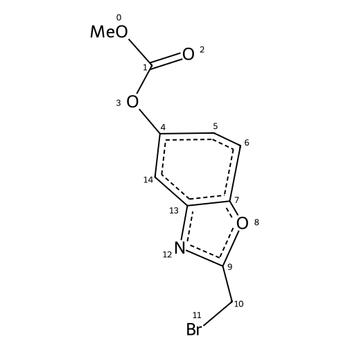 COC(=O)Oc1ccc2oc(CBr)nc2c1